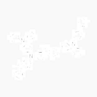 CC1(C)c2ccccc2-c2ccc(N(c3ccc4c(c3)C(C)(C)c3cc(-c5ccc6c(c5)c5ccccc5n6-c5ccc(-c6ccccc6)cc5)ccc3-4)c3ccc4c(c3)c3ccccc3n4-c3ccccc3)cc21